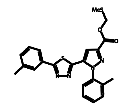 CSCOC(=O)c1cc(-c2nnc(-c3cccc(C)c3)s2)n(-c2ccccc2C)n1